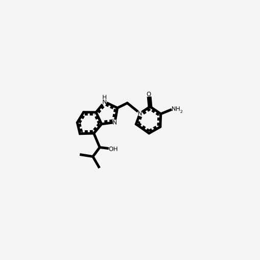 CC(C)C(O)c1cccc2[nH]c(Cn3cccc(N)c3=O)nc12